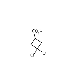 O=C(O)C1CC(Cl)(Cl)C1